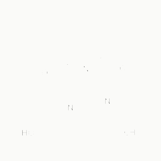 Cc1cc(CO)nc(N2C(=O)CCCC2=O)n1